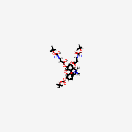 CN1CC[C@]23c4c5ccc(OC(=O)OC(C)(C)C)c4O[C@H]2C(OC(=O)CCNC(=O)OC(C)(C)C)=CC[C@@]3(OC(=O)CCNC(=O)OC(C)(C)C)[C@H]1C5